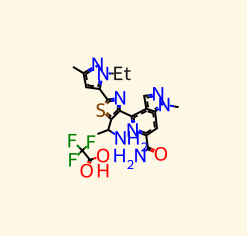 CCn1nc(C)cc1-c1nc(-c2nc(C(N)=O)cc3c2cnn3C)c(C(C)N)s1.O=C(O)C(F)(F)F